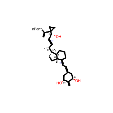 C=C1[C@H](O)CC(=C/C=C2\CCC[C@]3(C)[C@@H]([C@H](C)/C=C/[C@@H](O)C4(C(=C)CCCCC)CC4)CC[C@@]23C)C[C@H]1O